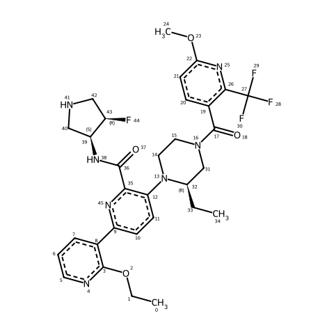 CCOc1ncccc1-c1ccc(N2CCN(C(=O)c3ccc(OC)nc3C(F)(F)F)C[C@H]2CC)c(C(=O)N[C@H]2CNC[C@H]2F)n1